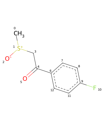 C[S+]([O-])CC(=O)c1ccc(F)cc1